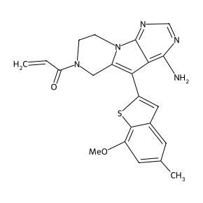 C=CC(=O)N1CCn2c(c(-c3cc4cc(C)cc(OC)c4s3)c3c(N)ncnc32)C1